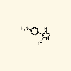 Cc1nn[nH]c1-c1ccc(N)cc1